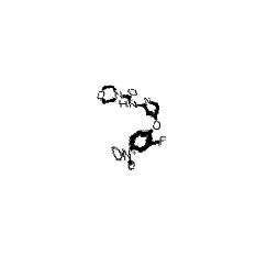 O=C(Nc1cc(Oc2ccc([N+](=O)[O-])cc2F)ccn1)N1CCOCC1